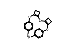 Brc1ccc(OC2=C(OC3=C(Oc4ccc(Br)cc4)CC3)CC2)cc1